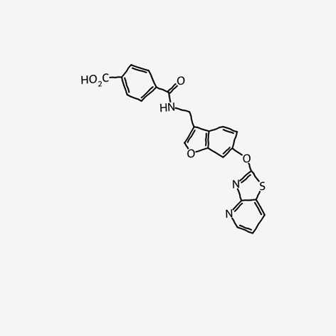 O=C(O)c1ccc(C(=O)NCc2coc3cc(Oc4nc5ncccc5s4)ccc23)cc1